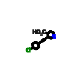 O=C(O)c1ccncc1C#Cc1ccc(Cl)cc1